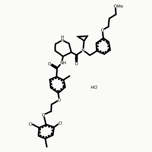 COCCCOc1cccc(CN(C(=O)C2CNCCC2NC(=O)c2ccc(OCCOc3c(Cl)cc(C)cc3Cl)cc2C)C2CC2)c1.Cl